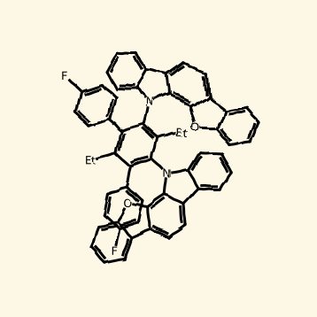 CCc1c(-c2ccc(F)cc2)c(-n2c3ccccc3c3ccc4c5ccccc5oc4c32)c(CC)c(-n2c3ccccc3c3ccc4c5ccccc5oc4c32)c1-c1ccc(F)cc1